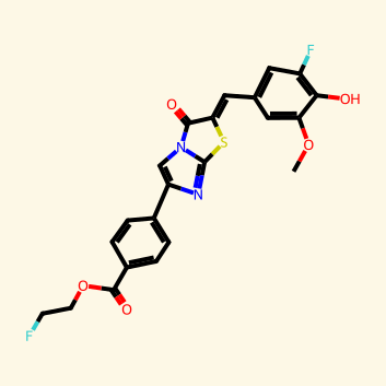 COc1cc(/C=c2\sc3nc(-c4ccc(C(=O)OCCF)cc4)cn3c2=O)cc(F)c1O